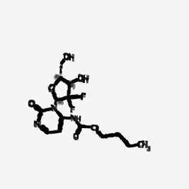 CCCCOC(=O)Nc1ccnc(=O)n1[C@@H]1O[C@H](CO)[C@@H](O)C1(F)F